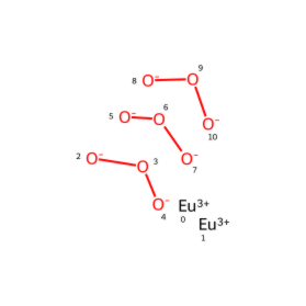 [Eu+3].[Eu+3].[O-]O[O-].[O-]O[O-].[O-]O[O-]